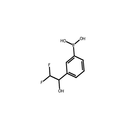 OB(O)c1cccc(C(O)C(F)F)c1